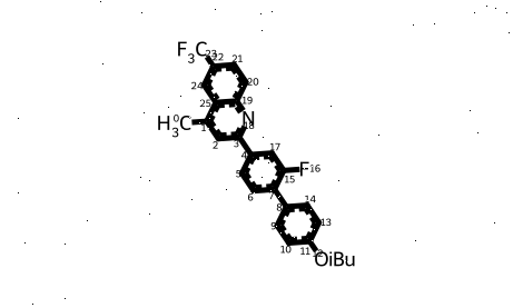 Cc1cc(-c2ccc(-c3ccc(OCC(C)C)cc3)c(F)c2)nc2ccc(C(F)(F)F)cc12